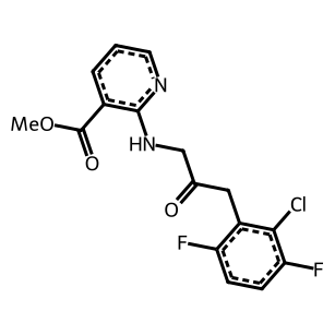 COC(=O)c1cccnc1NCC(=O)Cc1c(F)ccc(F)c1Cl